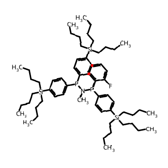 CCCC[Si](CCCC)(CCCC)c1ccc(P(c2ccc([Si](CCCC)(CCCC)CCCC)cc2)N(C)P(c2ccc([Si](CCCC)(CCCC)CCCC)cc2)c2ccccc2F)cc1